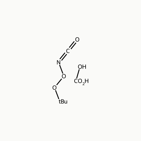 CC(C)(C)OON=C=O.O=C(O)O